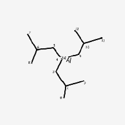 CC(C)[CH2][24Al]([CH2]C(C)C)[CH2]C(C)C